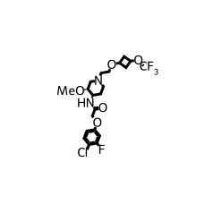 CO[C@@H]1CN(CCOC2CC(OC(F)(F)F)C2)CC[C@H]1NC(=O)COc1ccc(Cl)c(F)c1